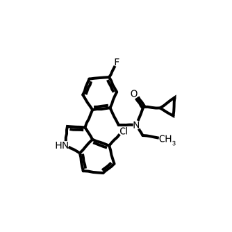 CCN(Cc1cc(F)ccc1-c1c[nH]c2cccc(Cl)c12)C(=O)C1CC1